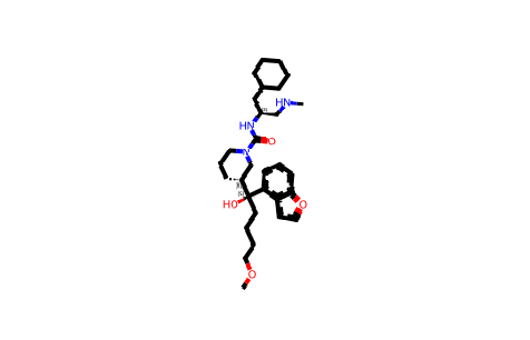 CNC[C@H](CC1CCCCC1)NC(=O)N1CCC[C@@H]([C@@](O)(CCCCOC)c2cccc3occc23)C1